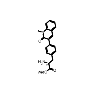 COC(=O)[C@@H](N)Cc1ccc(-c2cc3ccccc3n(C)c2=O)cc1